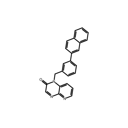 O=c1cnc2ncccc2n1Cc1cccc(-c2ccc3ccccc3c2)c1